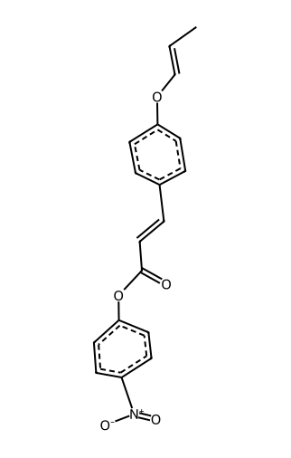 CC=COc1ccc(C=CC(=O)Oc2ccc([N+](=O)[O-])cc2)cc1